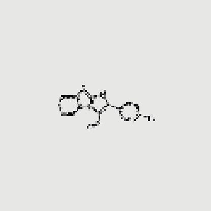 O=Nc1c(-c2ccc(Cl)cc2)nc2sc3ccccc3n12